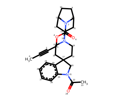 CC#CCOC(=O)N1C2CCC1CC(N1CCC3(CC1)CN(C(C)=O)c1ccccc13)C2